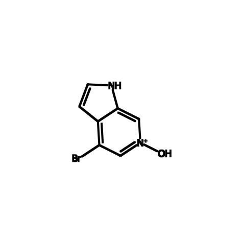 O[n+]1cc(Br)c2cc[nH]c2c1